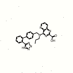 CCCN(Cc1ccc(-c2ccccc2-c2nnn[nH]2)cc1)c1nc(C(=O)O)nc2cccnc12